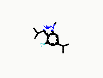 CC(C)c1cc(F)c2c(C(C)C)nn(C)c2c1